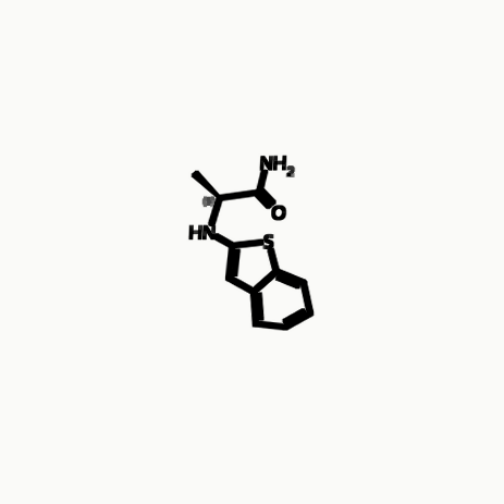 C[C@H](Nc1cc2ccccc2s1)C(N)=O